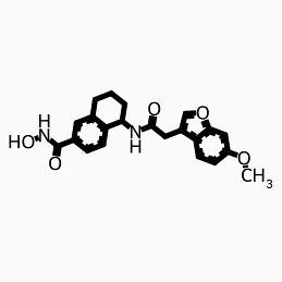 COc1ccc2c(CC(=O)NC3CCCc4cc(C(=O)NO)ccc43)coc2c1